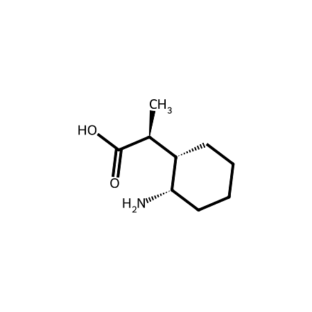 C[C@H](C(=O)O)[C@@H]1CCCC[C@@H]1N